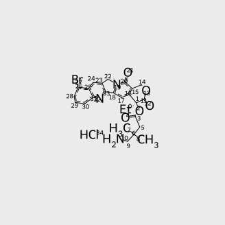 CC[C@@]1(OC(=O)CC(C)(C)CN)C(=O)OCc2c1cc1n(c2=O)Cc2cc3c(Br)cccc3nc2-1.Cl